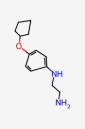 NCCNc1ccc(OC2CCCC2)cc1